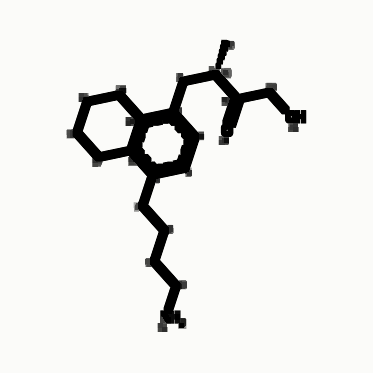 C[C@@H](Cc1ccc(CCCCN)c2c1CCCC2)C(=O)CO